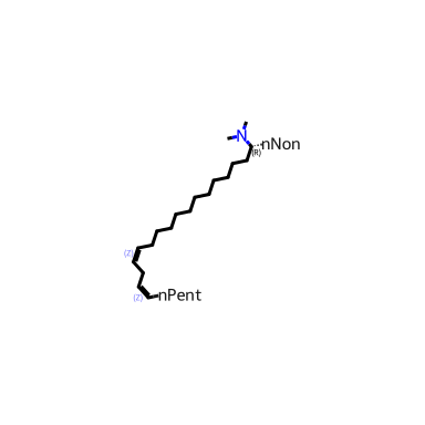 CCCCC/C=C\C/C=C\CCCCCCCCCCC[C@@H](CCCCCCCCC)N(C)C